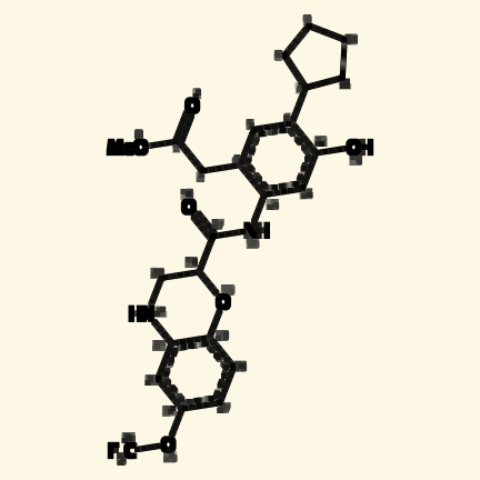 COC(=O)Cc1cc(C2CCCC2)c(O)cc1NC(=O)C1CNc2cc(OC(F)(F)F)ccc2O1